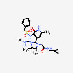 C=C1C(C)N(CC(=O)NCC2CC2)C(c2cc(C)[nH]c(=O)c2NS(=O)(=O)Cc2ccccc2)N1CNC=O